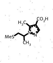 CSCC(C)n1ncc(C(=O)O)c1C